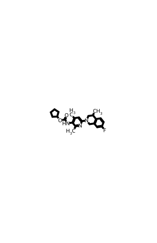 Cc1cc(N2Cc3cc(F)ccc3C(C)C2)nc(C)c1NC(=O)OC1CCCC1